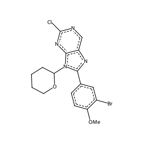 COc1ccc(-c2nc3cnc(Cl)nc3n2C2CCCCO2)cc1Br